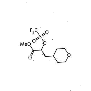 COC(=O)[C@H](CC1CCOCC1)OS(=O)(=O)C(F)(F)F